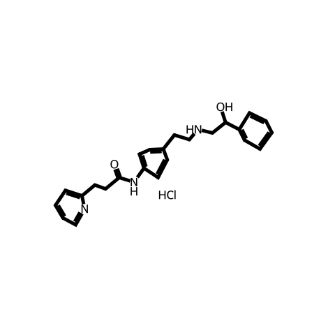 Cl.O=C(CCc1ccccn1)Nc1ccc(CCNCC(O)c2ccccc2)cc1